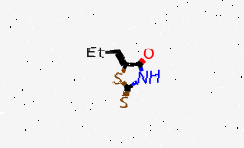 CC/C=C1\SC(=S)NC1=O